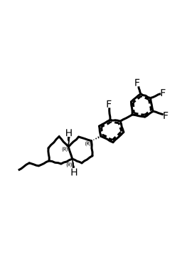 CCCC1CC[C@@H]2C[C@H](c3ccc(-c4cc(F)c(F)c(F)c4)c(F)c3)CC[C@@H]2C1